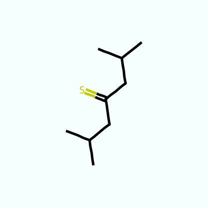 CC(C)CC(=S)CC(C)C